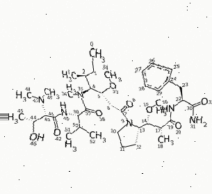 CC[C@H](C)[C@@H]([C@@H](CC(=O)N1CCC[C@H]1[C@H](OC)[C@@H](C)C(=O)N[C@@H](Cc1ccccc1)C(N)=O)OC)N(C)C(=O)[C@@H](NC(=O)[C@H]([C@@H](C)O)N(C)C)C(C)C